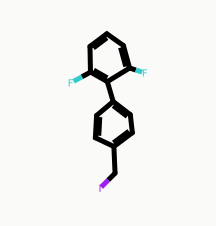 Fc1cccc(F)c1-c1ccc(CI)cc1